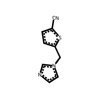 N#Cc1ccc(Cn2ccnc2)s1